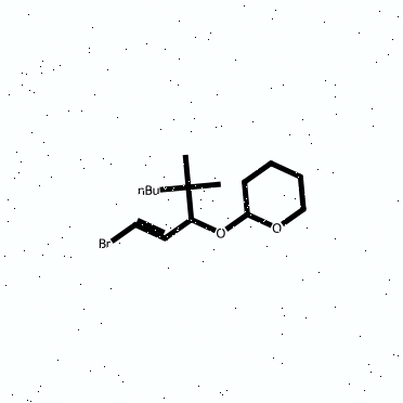 CCCCC(C)(C)C(C=CBr)OC1CCCCO1